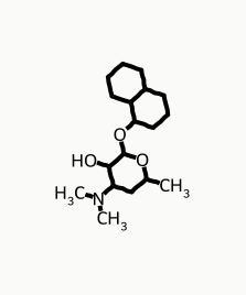 CC1CC(N(C)C)C(O)C(OC2CCCC3CCCCC32)O1